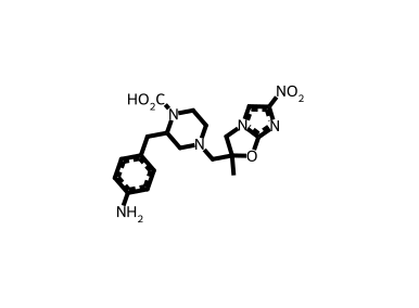 CC1(CN2CCN(C(=O)O)C(Cc3ccc(N)cc3)C2)Cn2cc([N+](=O)[O-])nc2O1